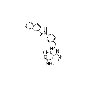 C=C(Nc1ccc(Cc2nc(Cl)c(CC(N)=O)c(N(C)C)n2)cc1)c1ccc2ccccc2c1